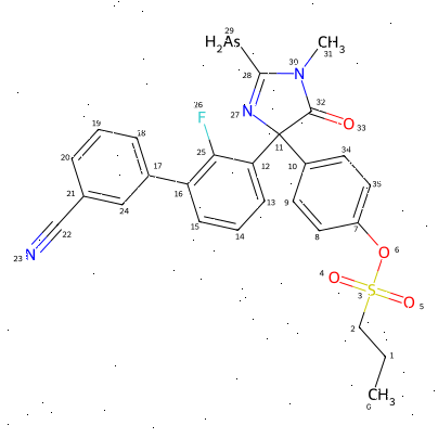 CCCS(=O)(=O)Oc1ccc(C2(c3cccc(-c4cccc(C#N)c4)c3F)N=C([AsH2])N(C)C2=O)cc1